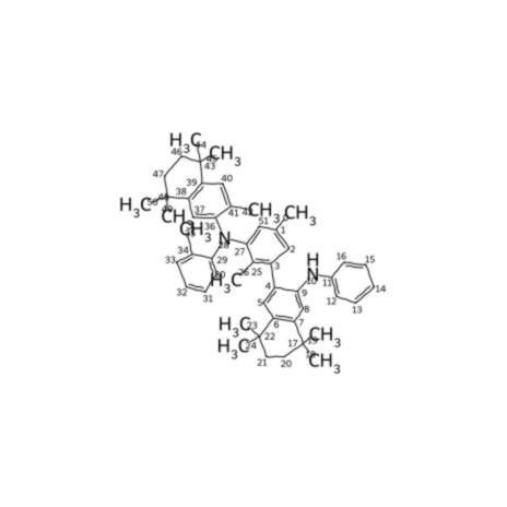 Cc1cc(-c2cc3c(cc2Nc2ccccc2)C(C)(C)CCC3(C)C)c(C)c(N(c2ccccc2C)c2cc3c(cc2C)C(C)(C)CCC3(C)C)c1